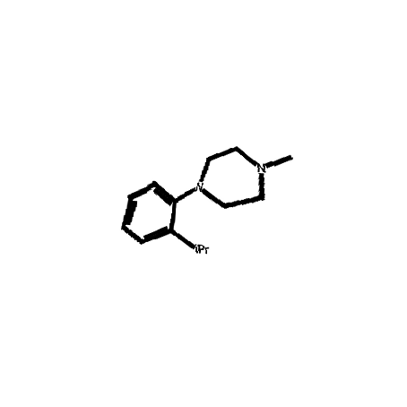 CC(C)c1ccccc1N1CCN(C)CC1